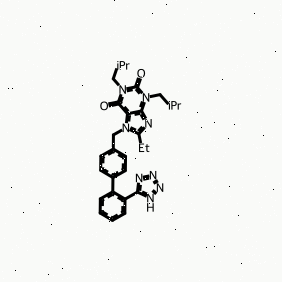 CCc1nc2c(c(=O)n(CC(C)C)c(=O)n2CC(C)C)n1Cc1ccc(-c2ccccc2-c2nnn[nH]2)cc1